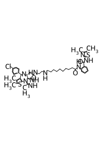 CC(=N)N1C(=N)[C@H](CC(=O)NCCNCCCCCCCCCC(=O)Nc2ccccc2C(=O)Nc2nc(C)c(C)s2)N=C(c2ccc(Cl)cc2)c2c1sc(C)c2C